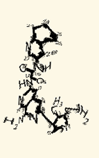 Cc1c(N)cncc1-c1cc2cc(NC(=O)C(=O)Nc3cnc4ccccc4c3)ncc2c(N)n1